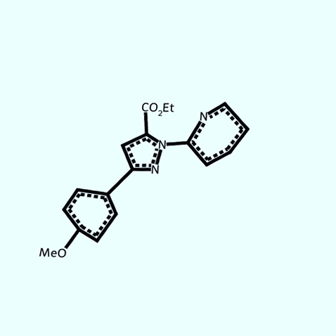 CCOC(=O)c1cc(-c2ccc(OC)cc2)nn1-c1ccccn1